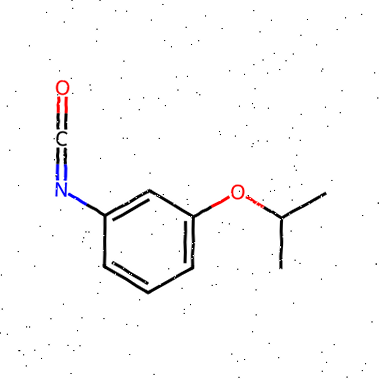 CC(C)Oc1cccc(N=C=O)c1